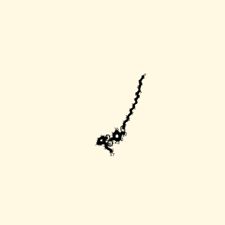 CCCCCCCCCCCCCCCCCCOC(C)c1ccc(C(=O)Oc2ccccc2CCCC)cc1